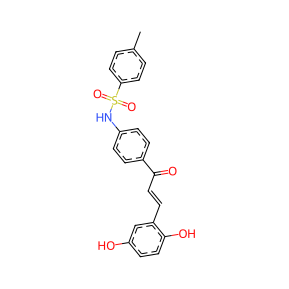 Cc1ccc(S(=O)(=O)Nc2ccc(C(=O)C=Cc3cc(O)ccc3O)cc2)cc1